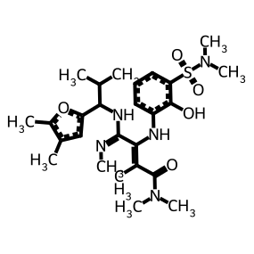 C/N=C(NC(c1cc(C)c(C)o1)C(C)C)\C(Nc1cccc(S(=O)(=O)N(C)C)c1O)=C(/C)C(=O)N(C)C